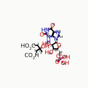 CC(O)(CC(=O)O)CC(=O)O.O=c1[nH]c(=O)c2ncn([C@@H]3O[C@H](COP(=O)(O)O)[C@@H](O)[C@H]3O)c2[nH]1